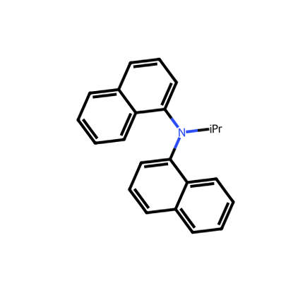 CC(C)N(c1cccc2ccccc12)c1cccc2ccccc12